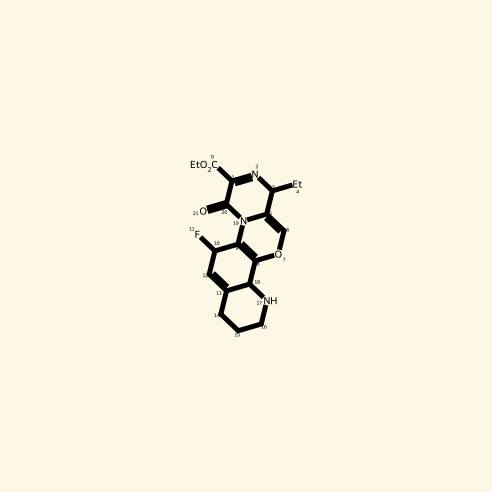 CCOC(=O)C1=NC(CC)C2=COC3=C(C(F)C=C4CCCNC43)N2C1=O